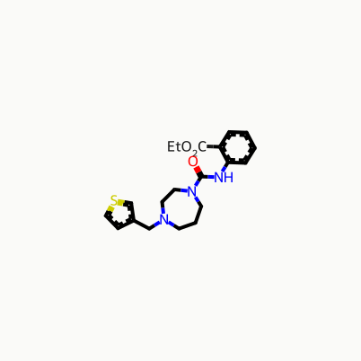 CCOC(=O)c1ccccc1NC(=O)N1CCCN(Cc2ccsc2)CC1